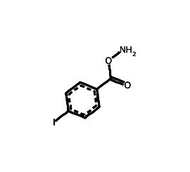 NOC(=O)c1ccc(I)cc1